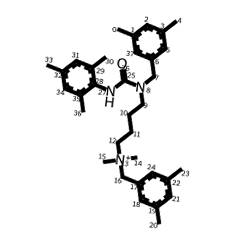 Cc1cc(C)cc(CN(CCCC[N+](C)(C)Cc2cc(C)cc(C)c2)C(=O)Nc2c(C)cc(C)cc2C)c1